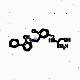 Cc1c(/C=C/c2cc(CNC(CO)C(=O)O)ccc2Cl)cccc1-c1ccccc1